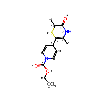 CC1=C(C2C=CN(C(=O)OCC(Cl)(Cl)Cl)C=C2)SC(C)C(=O)N1